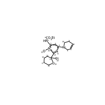 CCOC(=O)Nc1cc(N2CC=CCC2)nc(C2(CC)CCCCO2)[n+]1[O-]